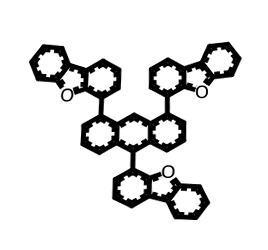 c1ccc2c(c1)oc1c(-c3cccc4c(-c5cccc6c5oc5ccccc56)c5cccc(-c6cccc7c6oc6ccccc67)c5cc34)cccc12